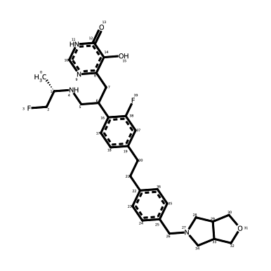 C[C@@H](CF)NCC(Cc1nc[nH]c(=O)c1O)c1ccc(CCc2ccc(CN3CC4COCC4C3)cc2)cc1F